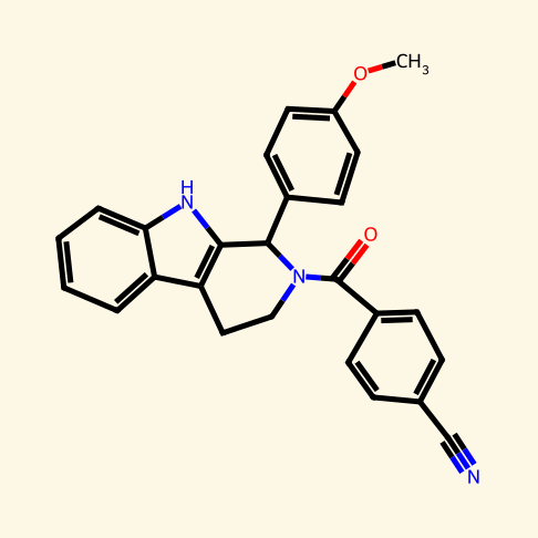 COc1ccc(C2c3[nH]c4ccccc4c3CCN2C(=O)c2ccc(C#N)cc2)cc1